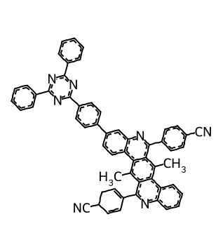 Cc1c2c(-c3ccc(C#N)cc3)nc3cc(-c4ccc(-c5nc(-c6ccccc6)nc(-c6ccccc6)n5)cc4)ccc3c2c(C)c2c(C3=CCC(C#N)C=C3)nc3ccccc3c12